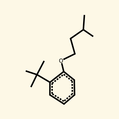 CC(C)CCOc1ccccc1C(C)(C)C